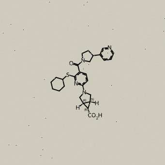 O=C(O)[C@H]1[C@@H]2CN(c3ccc(C(=O)N4CCC(c5cccnc5)C4)c(SC4CCCCC4)n3)C[C@@H]21